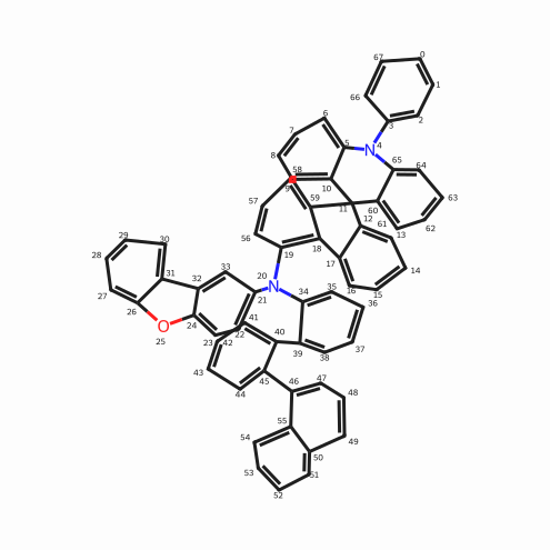 c1ccc(N2c3ccccc3C3(c4ccccc4-c4c(N(c5ccc6oc7ccccc7c6c5)c5ccccc5-c5ccccc5-c5cccc6ccccc56)cccc43)c3ccccc32)cc1